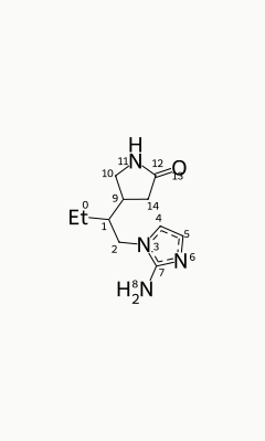 CCC(Cn1ccnc1N)C1CNC(=O)C1